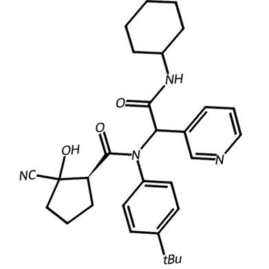 CC(C)(C)c1ccc(N(C(=O)[C@H]2CCCC2(O)C#N)C(C(=O)NC2CCCCC2)c2cccnc2)cc1